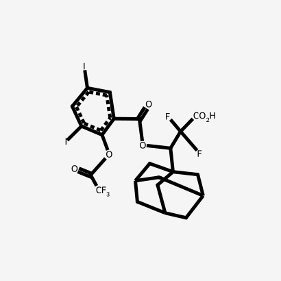 O=C(OC(C12CC3CC(CC(C3)C1)C2)C(F)(F)C(=O)O)c1cc(I)cc(I)c1OC(=O)C(F)(F)F